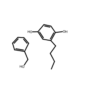 CCCCc1cc(O)ccc1O.OCc1ccccc1